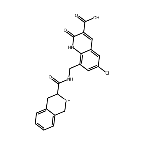 O=C(O)c1cc2cc(Cl)cc(CNC(=O)C3Cc4ccccc4CN3)c2[nH]c1=O